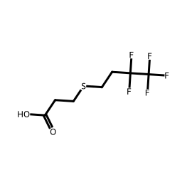 O=C(O)CCSCCC(F)(F)C(F)(F)F